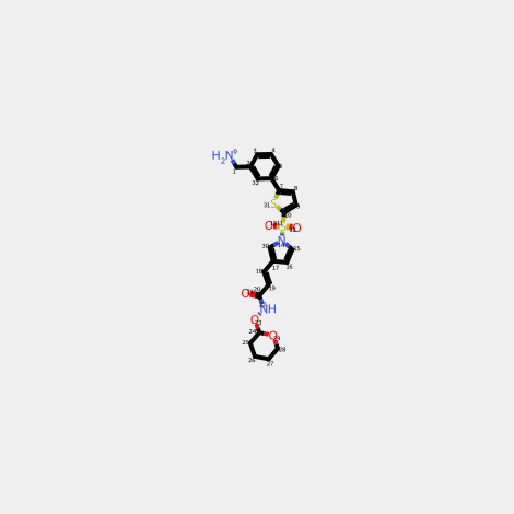 NCc1cccc(-c2ccc(S(=O)(=O)n3ccc(/C=C/C(=O)NOC4CCCCO4)c3)s2)c1